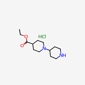 CCOC(=O)C1CCN(C2CCNCC2)CC1.Cl